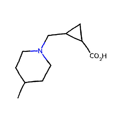 CC1CCN(CC2CC2C(=O)O)CC1